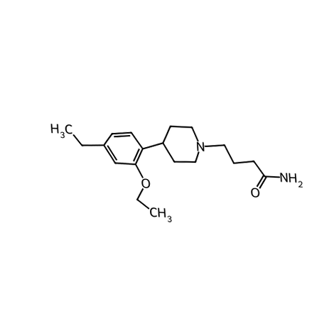 CCOc1cc(CC)ccc1C1CCN(CCCC(N)=O)CC1